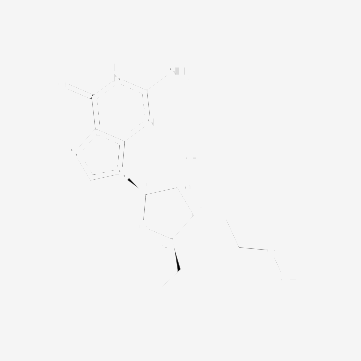 COCC[C@H]1[C@@H](O)[C@H](n2cnc3c(=O)[nH]c(N)nc32)O[C@@H]1CO